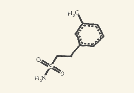 Cc1cccc(CCS(N)(=O)=O)c1